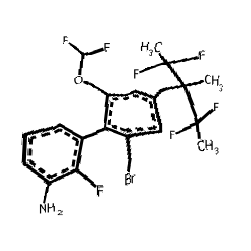 CC(F)(F)C(C)(c1cc(Br)c(-c2cccc(N)c2F)c(OC(F)F)c1)C(C)(F)F